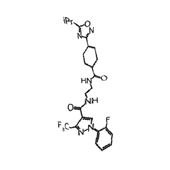 CC(C)c1nc(C2CCC(C(=O)NCCNC(=O)c3cn(-c4ccccc4F)nc3C(F)(F)F)CC2)no1